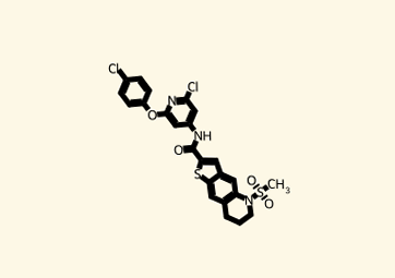 CS(=O)(=O)N1CCCc2cc3sc(C(=O)Nc4cc(Cl)nc(Oc5ccc(Cl)cc5)c4)cc3cc21